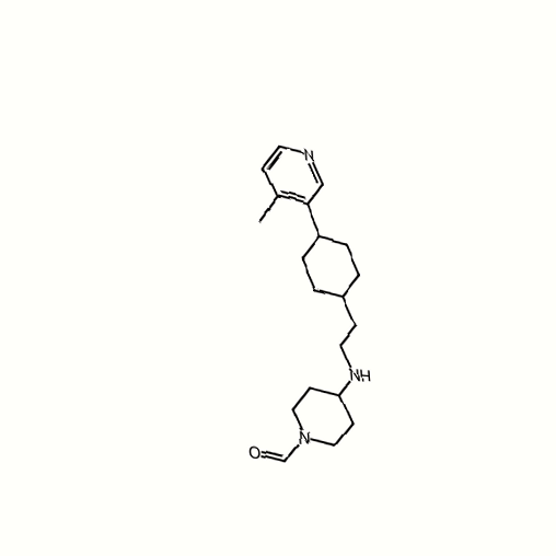 Cc1ccncc1C1CCC(CCNC2CCN(C=O)CC2)CC1